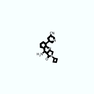 N#Cc1cncc(-c2cccc3c(N)c4c(nc23)CN(C2CCC2)C4=O)c1